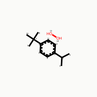 CC(C)c1ccc(C(C)(C)C)cc1.OO